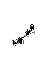 O=C(Cc1cc(F)ccn1)Nc1ccc(CCCCc2nnc(NC(=O)Cc3cc4n(n3)CCCC4)s2)nn1